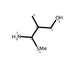 CSC(N)C(C)CO